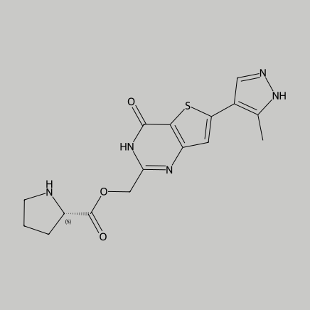 Cc1[nH]ncc1-c1cc2nc(COC(=O)[C@@H]3CCCN3)[nH]c(=O)c2s1